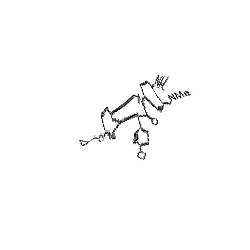 CN/C=C1/C=C(n2cc3ccc(OCC4CC4)nc3c(-c3ccc(Cl)cc3)c2=O)C=CC1=N